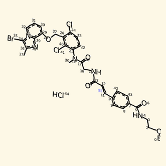 CCOCCNC(=O)c1ccc(/C=C/C(=O)NCC(=O)N(C)c2ccc(Cl)c(COc3cccn4c(Br)c(C)nc34)c2Cl)cc1.Cl